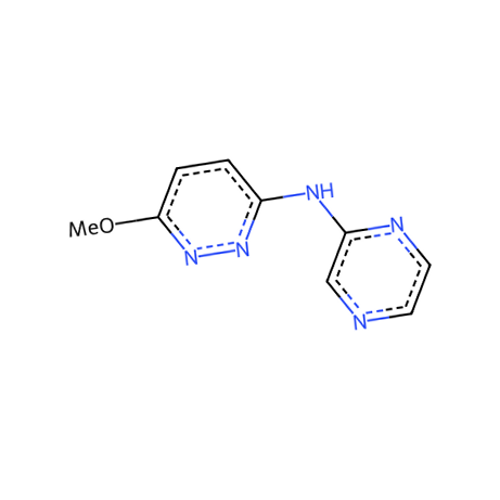 COc1ccc(Nc2cnccn2)nn1